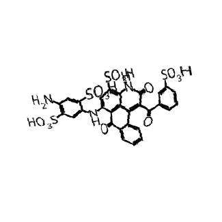 Nc1cc(S(=O)(=O)O)c(Nc2cc(S(=O)(=O)O)c3[nH]c(=O)c(C(=O)c4cccc(S(=O)(=O)O)c4)c4c3c2C(=O)c2ccccc2-4)cc1S(=O)(=O)O